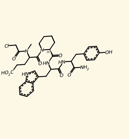 CN(C(=O)CCl)C(CCC(=O)O)C(=O)N1CCCC[C@H]1C(=O)NC(Cc1c[nH]c2ccccc12)C(=O)NC(Cc1ccc(O)cc1)C(N)=O